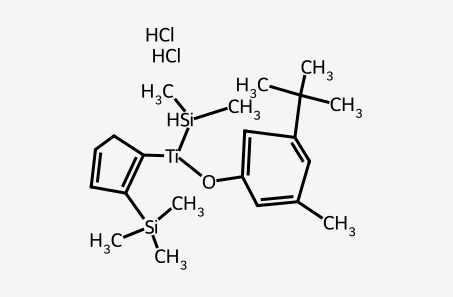 Cc1cc([O][Ti]([C]2=C([Si](C)(C)C)C=CC2)[SiH](C)C)cc(C(C)(C)C)c1.Cl.Cl